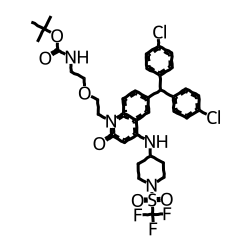 CC(C)(C)OC(=O)NCCOCCn1c(=O)cc(NC2CCN(S(=O)(=O)C(F)(F)F)CC2)c2cc(C(c3ccc(Cl)cc3)c3ccc(Cl)cc3)ccc21